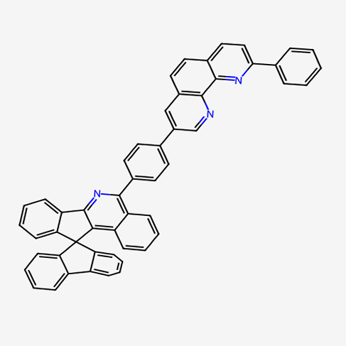 c1ccc(-c2ccc3ccc4cc(-c5ccc(-c6nc7c(c8ccccc68)C6(c8ccccc8-c8ccccc86)c6ccccc6-7)cc5)cnc4c3n2)cc1